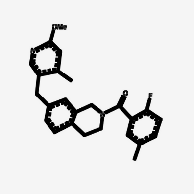 COc1cc(C)c(Cc2ccc3c(c2)CN(C(=O)c2cc(C)ccc2F)CC3)cn1